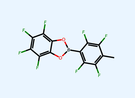 Cc1c(F)c(F)c(B2Oc3c(F)c(F)c(F)c(F)c3O2)c(F)c1F